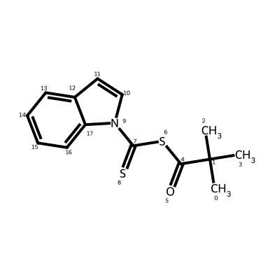 CC(C)(C)C(=O)SC(=S)n1ccc2ccccc21